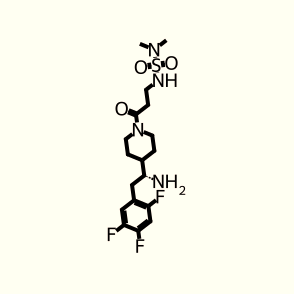 CN(C)S(=O)(=O)NCCC(=O)N1CCC([C@H](N)Cc2cc(F)c(F)cc2F)CC1